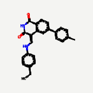 Cc1ccc(-c2ccc3c(c2)C(=CNc2ccc(CC#N)cc2)C(=O)NC3=O)cc1